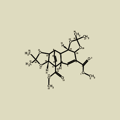 COC(=O)C1=C[C@H]2C(C3C=CC2(C(=O)OC)[C@@H]2OC(C)(C)OC32)[C@@H]2OC(C)(C)OC12